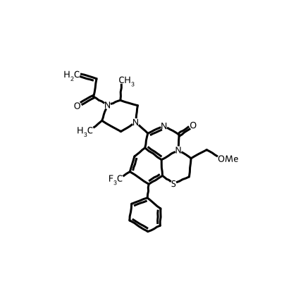 C=CC(=O)N1C(C)CN(c2nc(=O)n3c4c(c(-c5ccccc5)c(C(F)(F)F)cc24)SCC3COC)CC1C